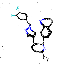 N#Cc1ccc(-c2cnn(CC3C[C@@H](F)[C@H](F)C3)c2)c(-c2ccc3cccnc3c2)n1